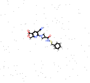 N#Cc1cc2c(nc1N1CC(C(=O)NSCc3ccccc3)C1)COC2=O